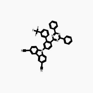 N#Cc1ccc2c(c1)c1cc(C#N)ccc1n2-c1ccc(-c2nc(-c3ccccc3)nc(-c3ccccc3)n2)c(-c2cccc(C(F)(F)F)c2)c1